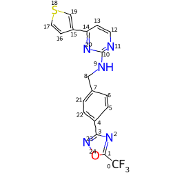 FC(F)(F)c1nc(-c2ccc(CNc3nccc(-c4ccsc4)n3)cc2)no1